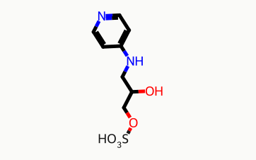 O=S(=O)(O)OCC(O)CNc1ccncc1